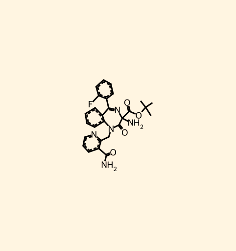 CC(C)(C)OC(=O)C1(N)N=C(c2ccccc2F)c2ccccc2N(Cc2ncccc2C(N)=O)C1=O